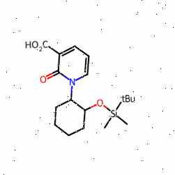 CC(C)(C)[Si](C)(C)OC1CCCCC1n1cccc(C(=O)O)c1=O